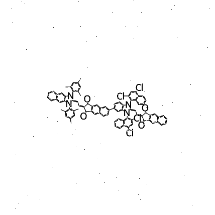 Cc1cc(C)c(N2C(=C/C=C3/C(=O)c4cc5ccc(-c6ccc7c(c6)N(c6c(Cl)cc(Cl)c8ccccc68)/C(=C\C=C6C(=O)c8cc9ccccc9cc8C6=O)N7c6c(Cl)cc(Cl)c7ccccc67)cc5cc4C3=O)N(c3c(C)cc(C)cc3C)c3cc4ccccc4cc32)c(C)c1